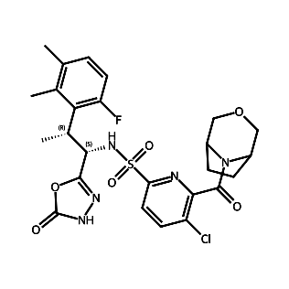 Cc1ccc(F)c([C@@H](C)[C@H](NS(=O)(=O)c2ccc(Cl)c(C(=O)N3C4CCC3COC4)n2)c2n[nH]c(=O)o2)c1C